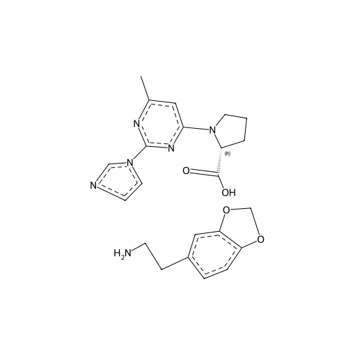 Cc1cc(N2CCC[C@@H]2C(=O)O)nc(-n2ccnc2)n1.NCCc1ccc2c(c1)OCO2